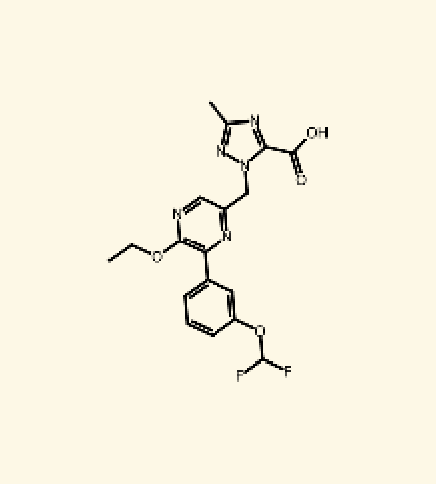 CCOc1ncc(Cn2nc(C)nc2C(=O)O)nc1-c1cccc(OC(F)F)c1